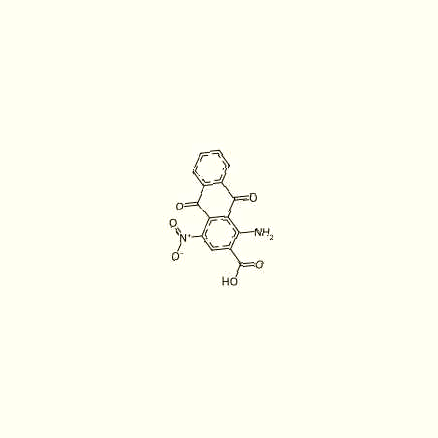 Nc1c(C(=O)O)cc([N+](=O)[O-])c2c1C(=O)c1ccccc1C2=O